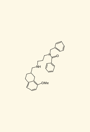 COc1cccc2c1CC(CNCCCN(Cc1ccccc1)C(=O)c1ccccc1)CC2